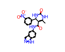 CC1=C(C(=O)Nc2ccc3[nH]ncc3c2)C(c2cccc([N+](=O)[O-])c2)NC(=O)N1